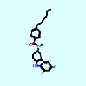 CCCCCCc1ccc(C(=O)N(C)C2CCc3[nH]c4c(F)cc(F)cc4c3C2)cc1